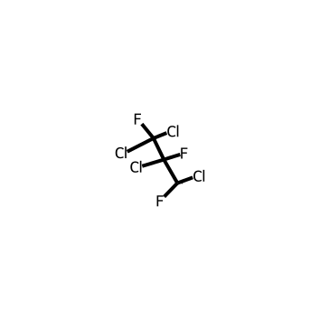 F[C](Cl)C(F)(Cl)C(F)(Cl)Cl